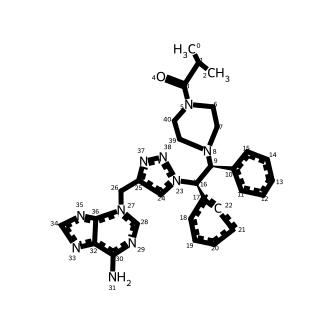 CC(C)C(=O)N1CCN([C@@H](c2ccccc2)[C@@H](c2ccccc2)n2cc(Cn3cnc(N)c4ncnc3-4)nn2)CC1